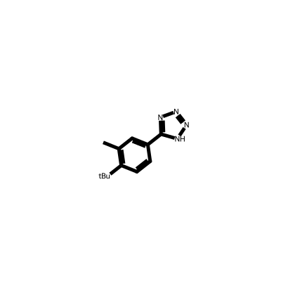 Cc1cc(-c2nnn[nH]2)ccc1C(C)(C)C